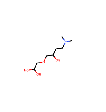 CN(C)CCC(O)COCC(O)O